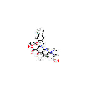 COc1ccc(Cn2cc(C(=O)O)c(=O)c3c(C)c(F)c(N4CCC[C@H]4CO)nc32)c(OC)c1